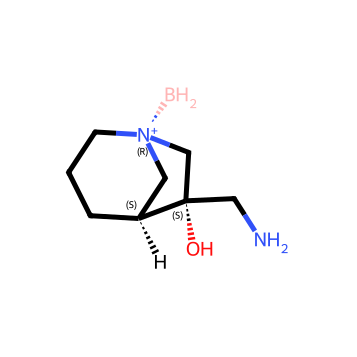 B[N@@+]12CCC[C@@H](C1)[C@](O)(CN)C2